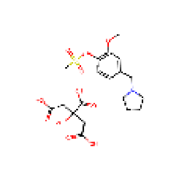 COc1cc(CN2CCCC2)ccc1OS(C)(=O)=O.O=C(O)CC(O)(CC(=O)O)C(=O)O